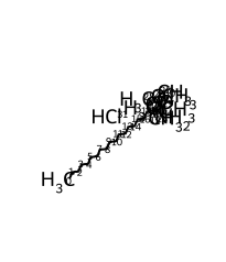 CCCCCCCCCCCCCCCCCCC(C)(C)C(C)(N)[Si](OC)(OC)OC.Cl